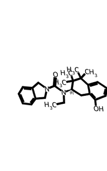 CCN(C(=O)N1Cc2ccccc2C1)[C@@H]1Cc2c(O)cccc2C(C)(C)C1(C)C